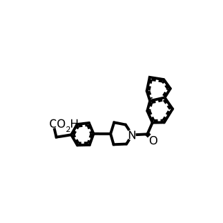 O=C(O)Cc1ccc(C2CCN(C(=O)c3ccc4ccccc4c3)CC2)cc1